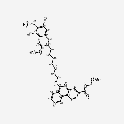 COCOC(=O)c1ccc2c(c1)nc(OCCOCCCCN(Cc1cc(F)c(OC(F)(F)F)c(F)c1)C(=O)OC(C)(C)C)c1ccncc12